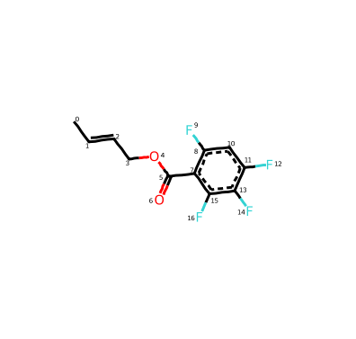 CC=CCOC(=O)c1c(F)cc(F)c(F)c1F